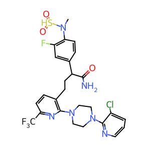 CN(c1ccc(C(CCc2ccc(C(F)(F)F)nc2N2CCN(c3ncccc3Cl)CC2)C(N)=O)cc1F)[SH](=O)=O